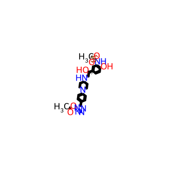 CC(=O)On1nnnc1-c1ccc(N2CCC(NC[C@@H](O)c3ccc(O)c(NS(C)(=O)=O)c3)CC2)cc1